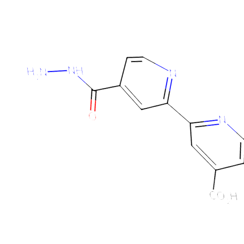 NNC(=O)c1ccnc(-c2cc(C(=O)O)ccn2)c1